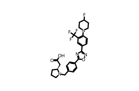 O=C(O)C[C@@H]1CCCN1Cc1ccc(-c2nc(-c3ccc(N4CCC(F)CC4)c(C(F)(F)F)c3)no2)cc1